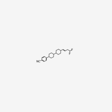 N#Cc1ccc(C2CCC(C3CCC(C=CCC(F)F)CC3)CC2)cc1